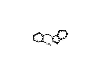 Nc1ccccc1Cn1n[c]c2ccccc21